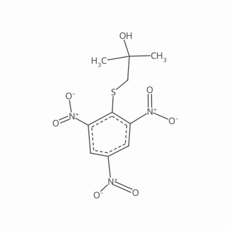 CC(C)(O)CSc1c([N+](=O)[O-])cc([N+](=O)[O-])cc1[N+](=O)[O-]